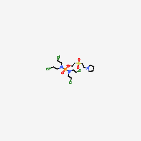 O=P(OCCS(=O)(=O)CCN1CCCC1)(N(CCCl)CCCl)N(CCCl)CCCl